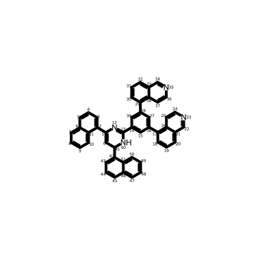 C1=C(c2cccc3ccccc23)N=C(c2cc(-c3cccc4cnccc34)cc(-c3cccc4cnccc34)c2)NC1c1cccc2ccccc12